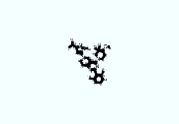 COC1CCN(c2nc(-c3c(C)cccc3C)nc3c2CN(c2cc(C(C)C)nn2C)CC3)CC1(C)C